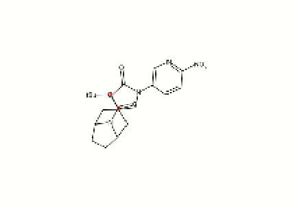 CC(C)(C)OC(=O)N1C2CCC1CC1(CC(=O)N(c3ccc([N+](=O)[O-])nc3)C1)C2